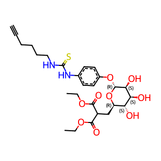 C#CCCCCNC(=S)Nc1ccc(O[C@H]2O[C@H](CC(C(=O)OCC)C(=O)OCC)[C@@H](O)[C@H](O)[C@@H]2O)cc1